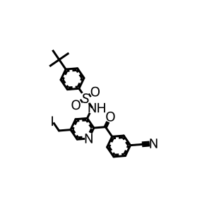 CC(C)(C)c1ccc(S(=O)(=O)Nc2cc(CI)cnc2C(=O)c2cccc(C#N)c2)cc1